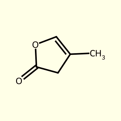 CC1=COC(=O)C1